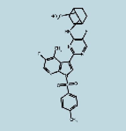 Cc1ccc(S(=O)(=O)n2cc(-c3ncc(F)c(NC4C5CCC(CC5)C4C(=O)O)n3)c3c(C)c(F)cnc32)cc1